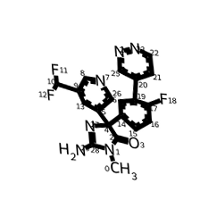 CN1C(=O)C(c2cncc(C(F)F)c2)(c2ccc(F)c(-c3ccnnc3)c2)N=C1N